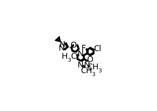 Cc1nc2c(c(=O)n1C)C(c1ccc(Cl)cc1F)=NC(C)([C@H]1CCO[C@@H](c3cnn(C4CC4)c3)C1)C2